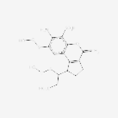 C=C1Oc2c(cc(SOO)c(N)c2S(=O)(=O)O)C2=C1CCC2C(CC(=O)O)SOO